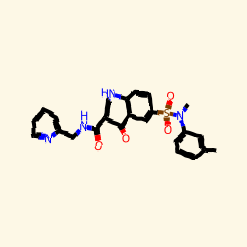 Cc1cccc(N(C)S(=O)(=O)c2ccc3[nH]cc(C(=O)NCc4ccccn4)c(=O)c3c2)c1